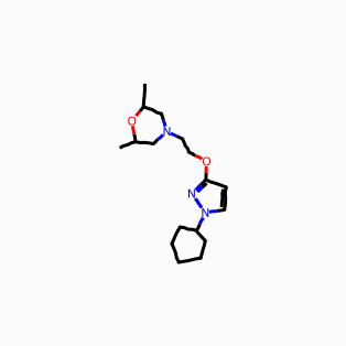 CC1CN(CCOc2ccn(C3CCCCC3)n2)CC(C)O1